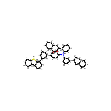 c1cc(-c2ccc(N(c3cccc(-c4ccc5ccccc5c4)c3)c3ccccc3-c3ccc4ccccc4c3)cc2)cc(-c2cccc3c2sc2ccccc23)c1